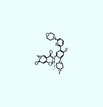 C[C@@H]1CN(c2cc(F)c(-c3cccc(N4CCOCC4)n3)cc2NC(=O)c2cn(C)c(=O)cc2C(F)(F)F)CCN1C